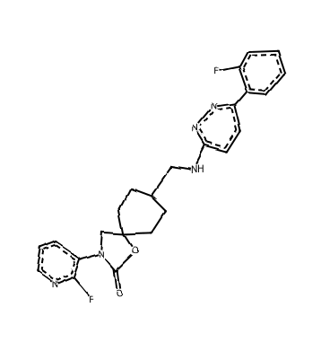 O=C1OC2(CCC(CNc3ccc(-c4ccccc4F)nn3)CC2)CN1c1cccnc1F